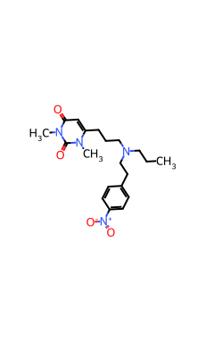 CCCN(CCCc1cc(=O)n(C)c(=O)n1C)CCc1ccc([N+](=O)[O-])cc1